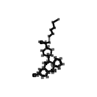 CCCCCCCC(=O)N1CCN(C2=Nc3cc(Cl)ccc3Nc3ccccc32)CC1